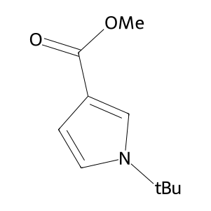 COC(=O)c1ccn(C(C)(C)C)c1